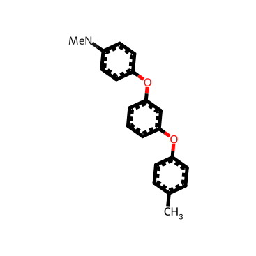 CNc1ccc(Oc2cccc(Oc3ccc(C)cc3)c2)cc1